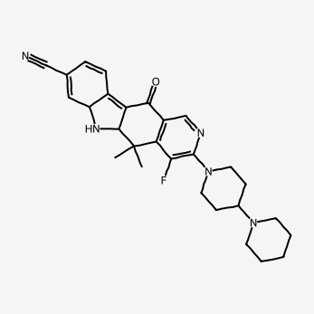 CC1(C)c2c(cnc(N3CCC(N4CCCCC4)CC3)c2F)C(=O)C2=C3C=CC(C#N)=CC3NC21